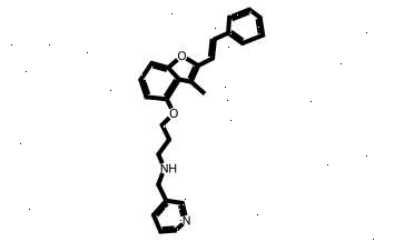 Cc1c(C=Cc2ccccc2)oc2cccc(OCCCNCc3cccnc3)c12